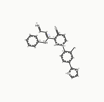 Cc1cc(-c2ncco2)ccc1-n1ccc(=O)c(/C(=C/C=N)Nc2ccccc2)n1